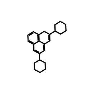 C1=C(C2CCCCC2)Cc2cccc3cc(C4CCCCC4)cc1c23